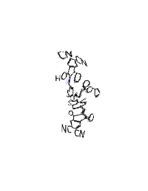 N#Cc1cc2c(cc1C#N)C(=O)C(=Cc1cc3sc4c5sc(/C=C6\C(=O)c7cc(C#N)c(C#N)cc7C6O)cc5n(C(=O)OCc5ccccc5)c4c3s1)C2=O